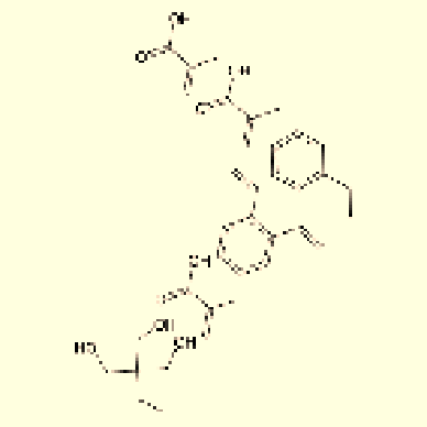 C=C(C)C(=O)O.C=C(C)C(=O)O.C=C(C)C(=O)O.C=Cc1ccccc1.C=Cc1ccccc1C=C.CCC(CO)(CO)CO